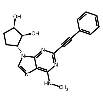 CNc1nc(C#Cc2ccccc2)nc2c1ncn2[C@@H]1CC[C@@H](O)[C@H]1O